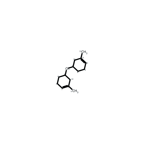 CC1=CCCC(OC2CCC=C(C)C2)C1